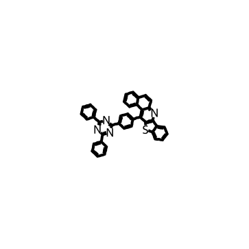 c1ccc(-c2nc(-c3ccccc3)nc(-c3ccc(-c4c5sc6ccccc6c5nc5ccc6ccccc6c45)cc3)n2)cc1